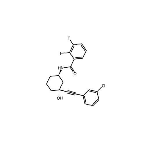 O=C(N[C@@H]1CCC[C@](O)(C#Cc2cccc(Cl)c2)C1)c1cccc(F)c1F